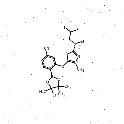 CCN(CC(F)F)C1=N[N+](C)=C(Oc2cc(C#N)ccc2B2OC(C)(C)C(C)(C)O2)C1